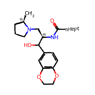 CCCCCCCC(=O)N[C@H](CN1CCC[C@H]1C)C(O)c1ccc2c(c1)OCCO2